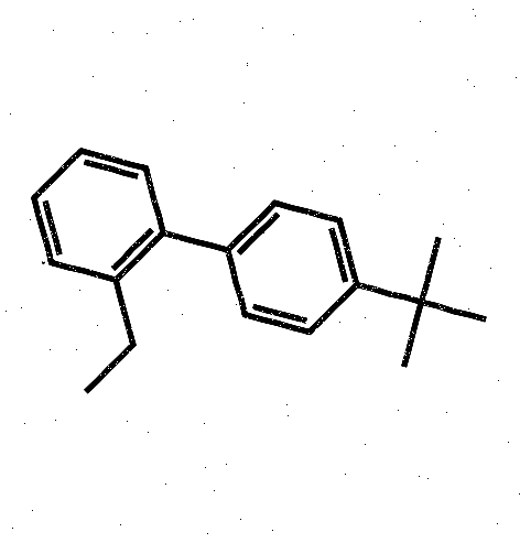 CCc1[c]cccc1-c1ccc(C(C)(C)C)cc1